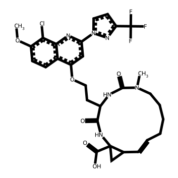 COc1ccc2c(OCCC3NC(=O)N(C)CCCC/C=C/C4CC4(C(=O)O)NC3=O)cc(-n3ccc(C(F)(F)F)n3)nc2c1Cl